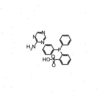 Nc1ncncn1.O=S(=O)(O)c1ccccc1P(c1ccccc1)c1ccccc1